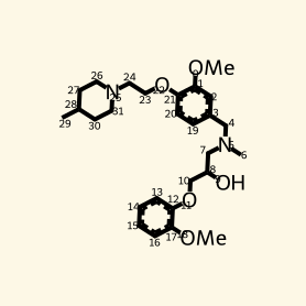 COc1cc(CN(C)CC(O)COc2ccccc2OC)ccc1OCCN1CCC(C)CC1